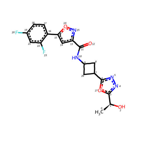 C[C@H](O)c1nnc(C2CC(NC(=O)c3cc(-c4ccc(F)cc4F)on3)C2)o1